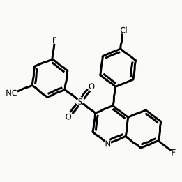 N#Cc1cc(F)cc(S(=O)(=O)c2cnc3cc(F)ccc3c2-c2ccc(Cl)cc2)c1